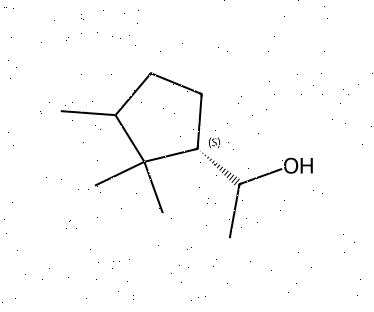 CC(O)[C@H]1CCC(C)C1(C)C